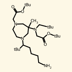 CC(C)(C)CN(CC(=O)OC(C)(C)C)C1(C)CN(CC(=O)OC(C)(C)C)CCN(C(CCCCN)C(C)(C)C)C1